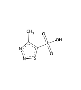 Cc1nnsc1S(=O)(=O)O